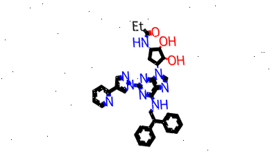 CCC(=O)N[C@H]1C[C@@H](n2cnc3c(NCC(c4ccccc4)c4ccccc4)nc(-n4cc(-c5ccccn5)cn4)nc32)[C@H](O)[C@@H]1O